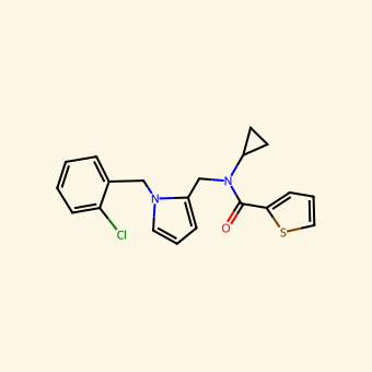 O=C(c1cccs1)N(Cc1cccn1Cc1ccccc1Cl)C1CC1